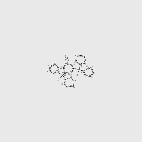 CC(c1ccccn1)(c1ccccn1)c1cc(C(F)(F)F)cc(C(C)(c2ccccn2)c2ccccn2)n1